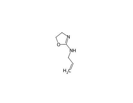 C=CCNC1=NCCO1